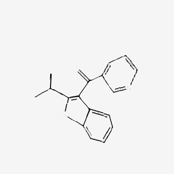 CC(C)c1[nH]c2ccccc2c1C(=O)c1cccnc1